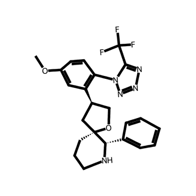 COc1ccc(-n2nnnc2C(F)(F)F)c([C@H]2CO[C@]3(CCCN[C@H]3c3ccccc3)C2)c1